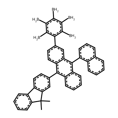 Bc1c(B)c(B)c(-c2ccc3c(-c4ccc5c(c4)C(C)(C)c4ccccc4-5)c4ccccc4c(-c4cccc5ccccc45)c3c2)c(B)c1B